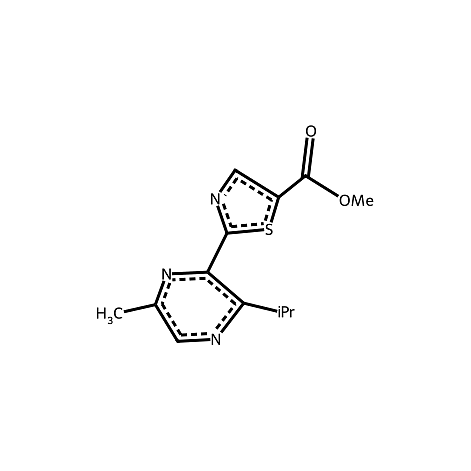 COC(=O)c1cnc(-c2nc(C)cnc2C(C)C)s1